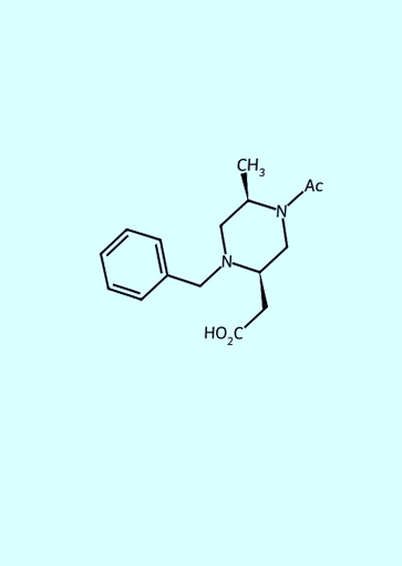 CC(=O)N1C[C@@H](CC(=O)O)N(Cc2ccccc2)C[C@H]1C